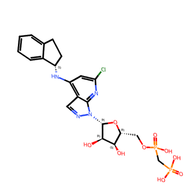 O=P(O)(O)CP(=O)(O)OC[C@H]1O[C@@H](n2ncc3c(N[C@H]4CCc5ccccc54)cc(Cl)nc32)[C@H](O)[C@@H]1O